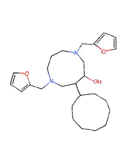 OC1CN(Cc2ccco2)CCCN(Cc2ccco2)CC1C1CCCCCCCC1